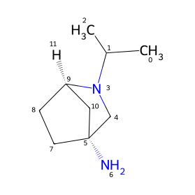 CC(C)N1C[C@@]2(N)CC[C@@H]1C2